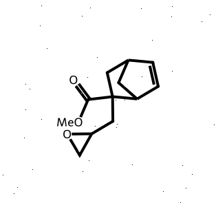 COC(=O)C1(CC2CO2)CC2C=CC1C2